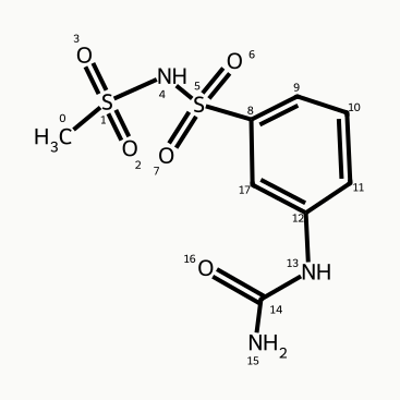 CS(=O)(=O)NS(=O)(=O)c1cccc(NC(N)=O)c1